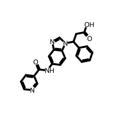 O=C(O)CC(c1ccccc1)n1cnc2cc(NC(=O)c3cccnc3)ccc21